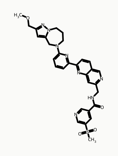 COCc1cc2n(n1)CCCN(c1cccc(-c3ccc4cnc(CNC(=O)c5cncc(S(C)(=O)=O)c5)cc4n3)n1)C2